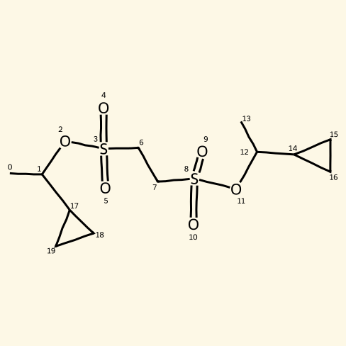 CC(OS(=O)(=O)CCS(=O)(=O)OC(C)C1CC1)C1CC1